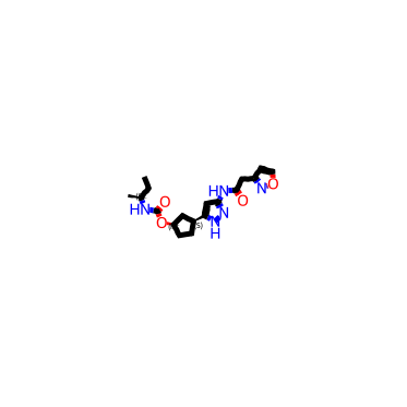 CC[C@H](C)NC(=O)O[C@@H]1CC[C@H](c2cc(NC(=O)Cc3ccon3)n[nH]2)C1